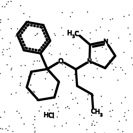 CCCC(OC1(c2ccccc2)CCCCC1)N1CCN=C1C.Cl